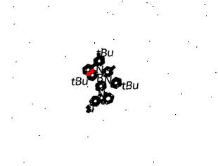 Cc1cc2c3c(c1)N(c1ccc(C(C)(C)C)cc1-c1ccccc1)c1ccc(C(C)(C)C)cc1B3c1ccc(N3c4ccc([Si](C)(C)C)cc4C4(C)CCCCC34C)cc1N2c1ccc(C(C)(C)C)cc1